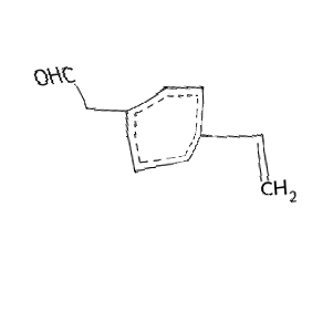 C=Cc1ccc(CC=O)cc1